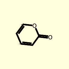 O=c1c[c]c[c]o1